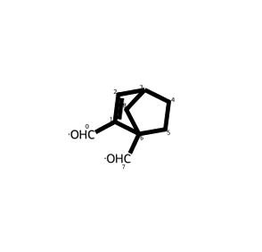 O=[C]C1=CC2CCC1([C]=O)C2